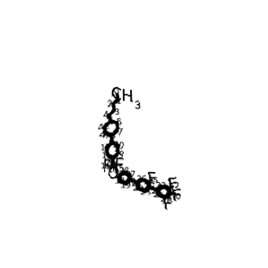 CCCCCC1CCC(C2CCC(C(F)(F)Oc3ccc(-c4ccc(-c5cc(F)c(F)c(F)c5)c(F)c4)cc3)CC2)CC1